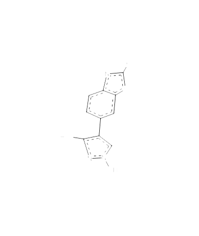 Cc1nc2ccc(-c3cn(C)nc3C)cc2s1